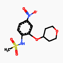 CS(=O)(=O)Nc1ccc([N+](=O)[O-])cc1OC1CCOCC1